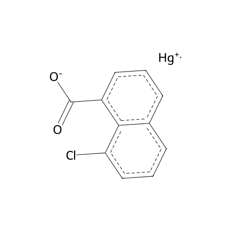 O=C([O-])c1cccc2cccc(Cl)c12.[Hg+]